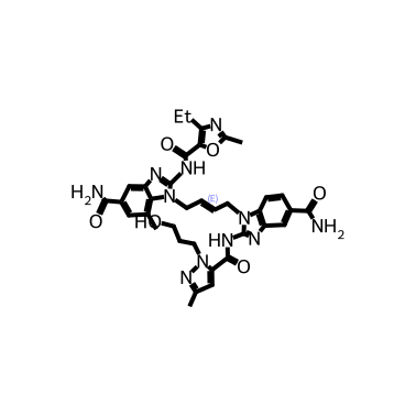 CCc1nc(C)oc1C(=O)Nc1nc2cc(C(N)=O)cc(C)c2n1C/C=C/Cn1c(NC(=O)c2cc(C)nn2CCCO)nc2cc(C(N)=O)ccc21